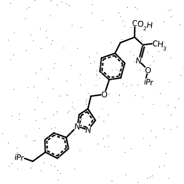 CC(=NOC(C)C)C(Cc1ccc(OCc2cnn(-c3ccc(CC(C)C)cc3)c2)cc1)C(=O)O